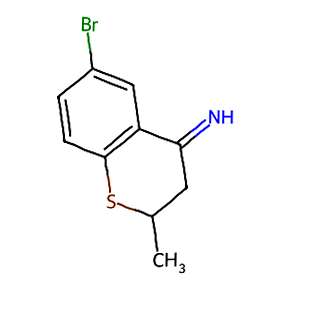 CC1CC(=N)c2cc(Br)ccc2S1